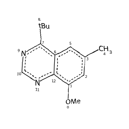 COc1cc(C)cc2c(C(C)(C)C)ncnc12